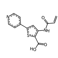 C=CC(=O)Nc1cc(-c2ccncc2)sc1C(=O)O